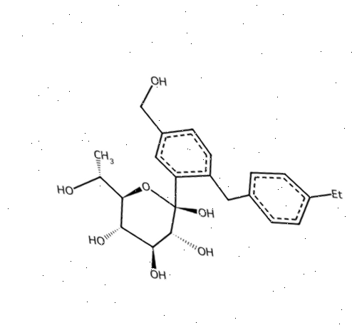 CCc1ccc(Cc2ccc(CO)cc2[C@@]2(O)O[C@H]([C@@H](C)O)[C@@H](O)[C@H](O)[C@H]2O)cc1